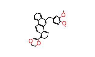 COc1ccc(Cc2cc3c4c(ccc3c3c2=CCCC=3)=C(C2=COCCO2)CCC=4)cc1OC